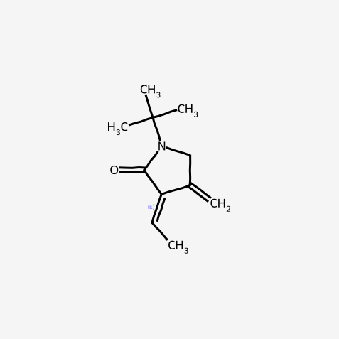 C=C1CN(C(C)(C)C)C(=O)/C1=C/C